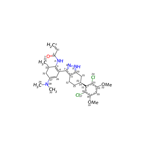 C=CC(=O)NC1=C(c2n[nH]c3c2CC[C@H](c2c(Cl)c(OC)cc(OC)c2Cl)C3)C=C(N(C)C)CC1C